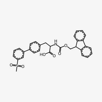 CS(=O)(=O)c1cccc(-c2ccc(CC(NC(=O)OCC3c4ccccc4-c4ccccc43)C(=O)O)cc2)c1